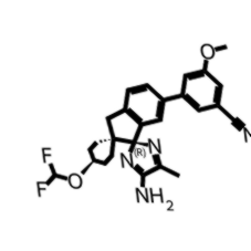 COc1cc(C#N)cc(-c2ccc3c(c2)[C@@]2(N=C(C)C(N)=N2)[C@]2(CC[C@H](OC(F)F)CC2)C3)c1